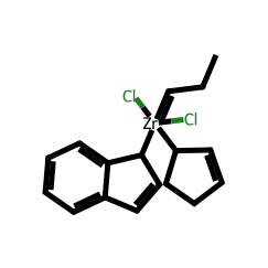 CC[CH]=[Zr]([Cl])([Cl])([CH]1C=CCC1)[CH]1C=Cc2ccccc21